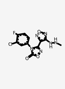 CNNc1nonc1-c1noc(=O)n1-c1ccc(F)c(Cl)c1